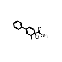 CC1C=C(c2ccccc2)C=CC1(Cl)C(=O)O